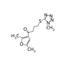 Cc1cc(C(=O)CCCSc2nnnn2C)c(C)o1